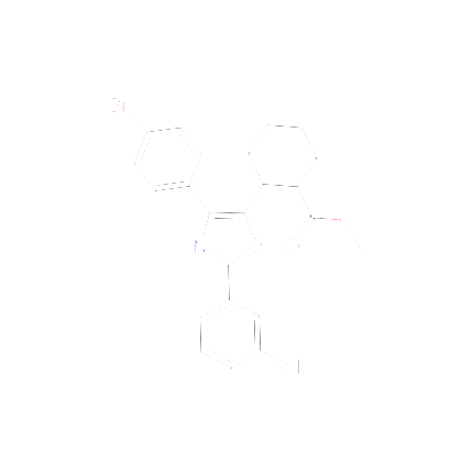 COC(=O)C1CCCCC1c1oc(-c2cccc(Cl)c2)nc1-c1ccc(Br)cc1